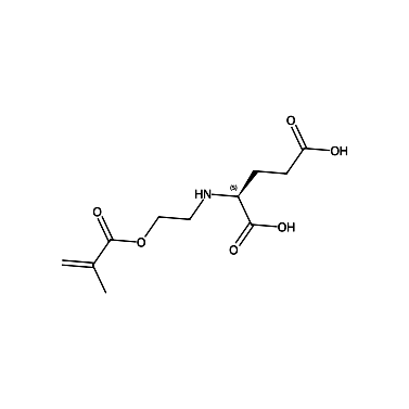 C=C(C)C(=O)OCCN[C@@H](CCC(=O)O)C(=O)O